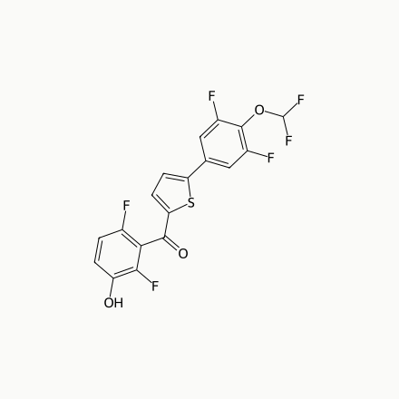 O=C(c1ccc(-c2cc(F)c(OC(F)F)c(F)c2)s1)c1c(F)ccc(O)c1F